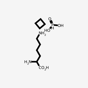 C1CCC1.NCCCCC(N)C(=O)O.O=[PH](O)O